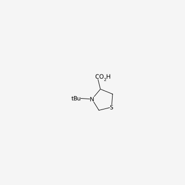 CC(C)(C)N1CSCC1C(=O)O